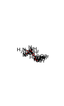 CC(C)[C@H](NC(=O)[C@H](C(C)C)N(C)C)C(=O)N(C)[C@H](C(=O)N1CCC[C@H]1C(=O)N1CCC[C@H]1C(=O)NCc1ccc(C(=O)N[C@@H](CC(N)=O)C(=O)N[C@H](CCCCCN)C(=O)NCCN=[N+]=[N-])cc1)C(C)C